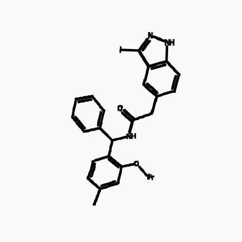 Cc1ccc(C(NC(=O)Cc2ccc3[nH]nc(I)c3c2)c2ccccc2)c(OC(C)C)c1